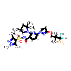 Cc1nn(C)c(C)c1S(=O)(=O)NC(=O)c1ccc(-n2ccc(OCC(C)(C)C(F)(F)P)n2)nc1N1C[C@@H](C)CC1(C)C